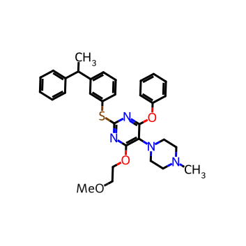 COCCOc1nc(Sc2cccc(C(C)c3ccccc3)c2)nc(Oc2ccccc2)c1N1CCN(C)CC1